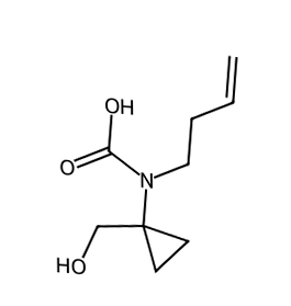 C=CCCN(C(=O)O)C1(CO)CC1